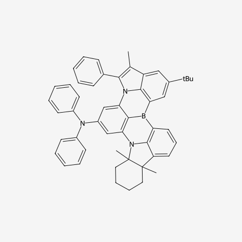 Cc1c(-c2ccccc2)n2c3c(cc(C(C)(C)C)cc13)B1c3cccc4c3N(c3cc(N(c5ccccc5)c5ccccc5)cc-2c31)C1(C)CCCCC41C